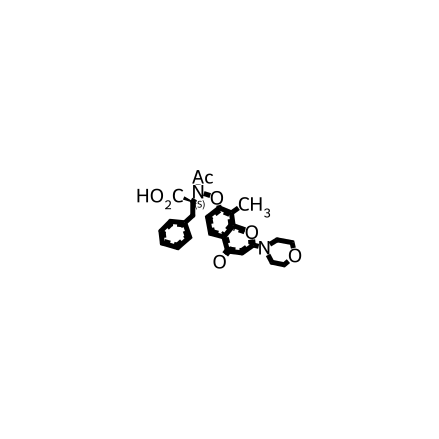 CC(=O)N(Oc1ccc2c(=O)cc(N3CCOCC3)oc2c1C)[C@@H](Cc1ccccc1)C(=O)O